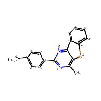 Cc1ccc(-c2nc(C)c3sc4ccccc4c3n2)cc1